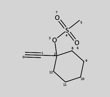 C#CC1(OS(C)(=O)=O)CCCCC1